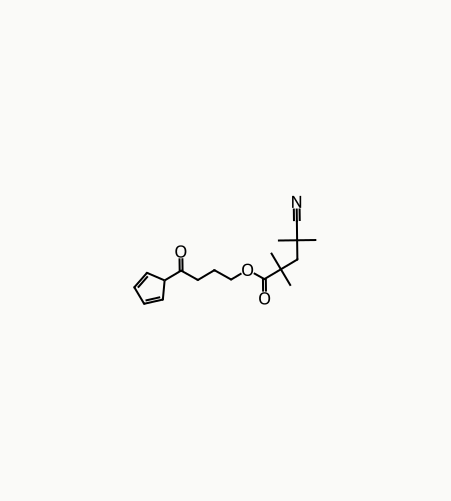 CC(C)(C#N)CC(C)(C)C(=O)OCCCC(=O)C1C=CC=C1